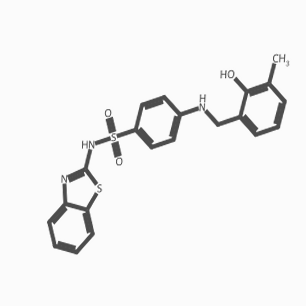 Cc1cccc(CNc2ccc(S(=O)(=O)Nc3nc4ccccc4s3)cc2)c1O